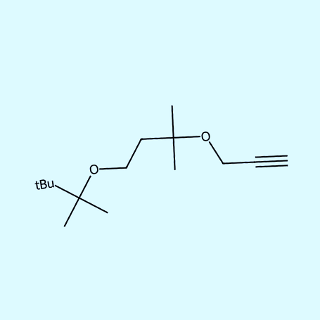 C#CCOC(C)(C)CCOC(C)(C)C(C)(C)C